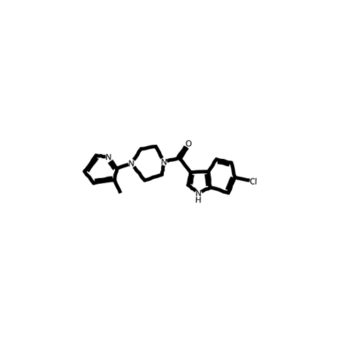 Cc1cccnc1N1CCN(C(=O)c2c[nH]c3cc(Cl)ccc23)CC1